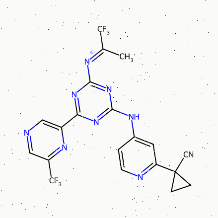 C/C(=N\c1nc(Nc2ccnc(C3(C#N)CC3)c2)nc(-c2cncc(C(F)(F)F)n2)n1)C(F)(F)F